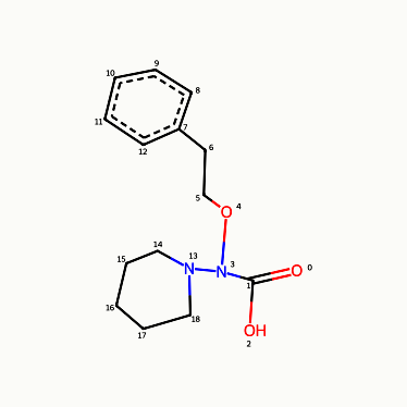 O=C(O)N(OCCc1ccccc1)N1CCCCC1